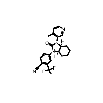 Cc1ccncc1N1C(=O)N(c2ccc(C#N)c(C(F)(F)F)c2)[C@H]2CCCC[C@@H]21